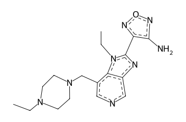 CCN1CCN(Cc2cncc3nc(-c4nonc4N)n(CC)c23)CC1